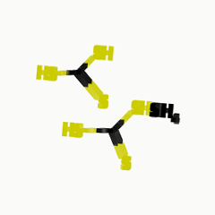 S=C(S)S.S=C(S)S.[SiH4]